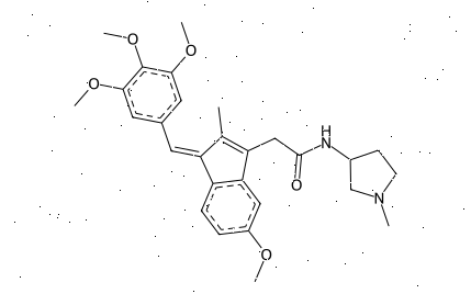 COc1ccc2c(c1)C(CC(=O)NC1CCN(C)C1)=C(C)C2=Cc1cc(OC)c(OC)c(OC)c1